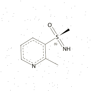 Cc1ncccc1[S@@](C)(=N)=O